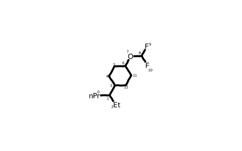 CCCC(CC)C1CCC(OC(F)F)CC1